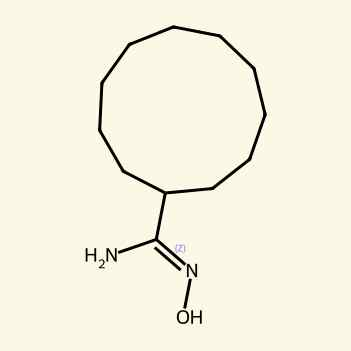 N/C(=N\O)C1CCCCCCCCCC1